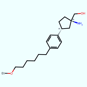 CCOCCCCCCc1ccc([C@@H]2CC[C@](N)(CO)C2)cc1